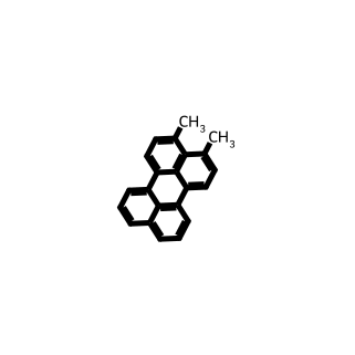 Cc1ccc2c3cccc4cccc(c5ccc(C)c1c25)c43